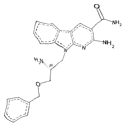 NC(=O)c1cc2c3ccccc3n(C[C@@H](N)COCc3ccccc3)c2nc1N